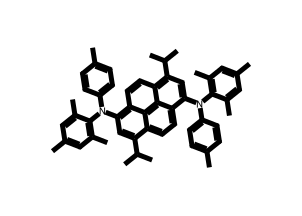 Cc1ccc(N(c2c(C)cc(C)cc2C)c2cc(C(C)C)c3ccc4c(N(c5ccc(C)cc5)c5c(C)cc(C)cc5C)cc(C(C)C)c5ccc2c3c54)cc1